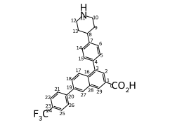 O=C(O)c1cc(-c2ccc(C3CCNCC3)cc2)c2ccc(-c3ccc(C(F)(F)F)cc3)cc2c1